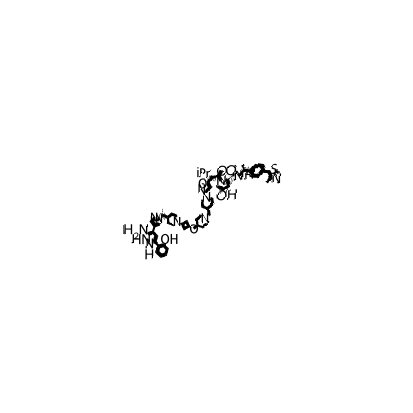 Cc1ncsc1-c1ccc([C@H](C)NC(=O)[C@@H]2C[C@@H](O)CN2C(=O)[C@@H](c2cc(N3CCC(CN4CCC(O[C@H]5C[C@@H](N6CCC([C@@H](C)n7cc(C8=C(N)NNC(c9ccccc9O)=C8)cn7)CC6)C5)CC4)CC3)no2)C(C)C)cc1